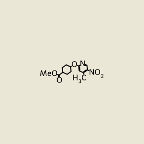 COC(=O)C1CCC(Oc2cc(C)c([N+](=O)[O-])cn2)CC1